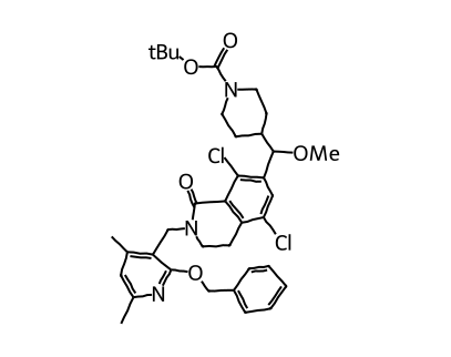 COC(c1cc(Cl)c2c(c1Cl)C(=O)N(Cc1c(C)cc(C)nc1OCc1ccccc1)CC2)C1CCN(C(=O)OC(C)(C)C)CC1